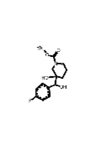 CC(C)(C)OC(=O)N1CCCC(O)(C(O)c2ccc(F)cc2)C1